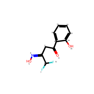 O=C(C/C(=N/O)C(F)F)c1ccccc1O